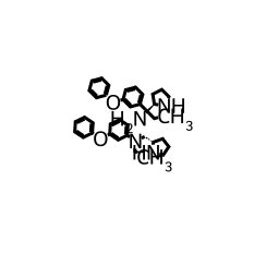 CCC(N)(c1cccc(Oc2ccccc2)c1)[C@H]1CCCN1.CCN(C[C@@H]1CCCN1)c1cccc(Oc2ccccc2)c1